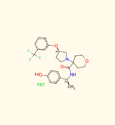 C[C@H](NC(=O)C1(N2CC[C@@H](Oc3cccc(C(F)(F)F)c3)C2)CCOCC1)c1ccc(O)cc1.Cl